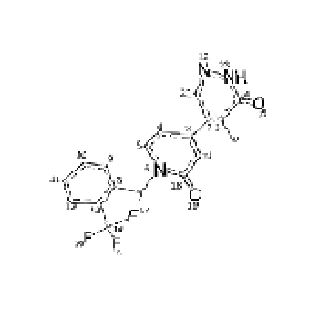 Cc1c(-c2ccn(Cc3ccccc3C(F)(F)F)c(=O)c2)cn[nH]c1=O